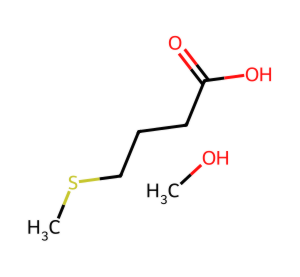 CO.CSCCCC(=O)O